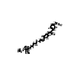 CCC(C)(C)C(=O)OCCCCCCCCOc1ccc(/C=C(\C#N)c2ccc(OC)cc2)cc1